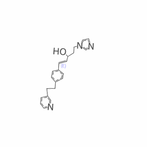 OC(/C=C/c1ccc(CCc2cccnc2)cc1)CCn1ccnc1